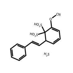 N#COC1=CC=CC(C=Cc2ccccc2)C1(S(=O)(=O)O)S(=O)(=O)O.S